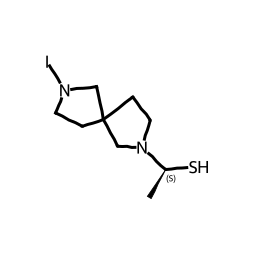 C[C@H](S)N1CCC2(CCN(I)C2)C1